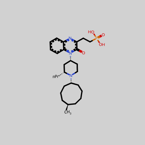 CCC[C@@H]1C[C@H](n2c(=O)c(CCP(=O)(O)O)nc3ccccc32)CCN1[C@@H]1CCCC[C@@H](C)CCC1